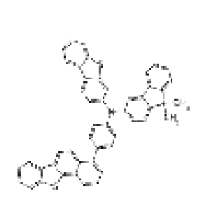 CC1(C)c2ccccc2-c2cc(N(c3ccc(-c4cccc5c4ccc4c6ccccc6sc54)cc3)c3ccc4c(c3)sc3ccccc34)ccc21